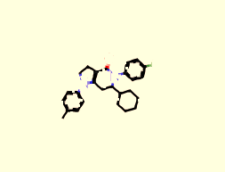 Cc1ccc(N2CCC3=C2CC(C2CCCCC2)N(c2ccc(Cl)cc2)C3=O)cc1